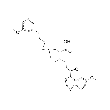 COc1cccc(CCCCN2CC[C@@H](CC[C@@H](O)c3ccnc4ccc(OC)cc34)[C@@H](C(=O)O)C2)c1